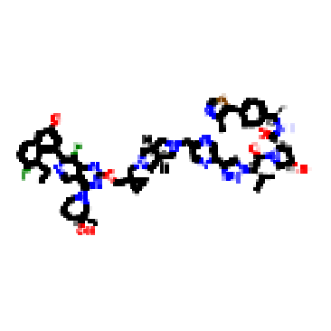 CCc1c(F)ccc2cc(O)cc(-c3ncc4c(N5CCC[C@@](C)(O)C5)nc(OCC5(CN6C[C@H]7CN(Cc8cnc(-c9cn([C@H](C(=O)N%10C[C@H](O)C[C@H]%10C(=O)N[C@@H](C)c%10ccc(-c%11scnc%11C)cc%10)C(C)C)nn9)cn8)C[C@H]7C6)CC5)nc4c3F)c12